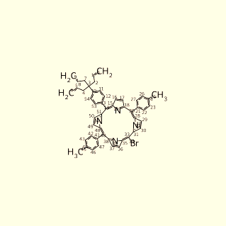 C=CCC(CC=C)(CC=C)c1ccc(C2=C3C=CC(=N3)C(c3ccc(C)cc3)=C3C=CC(=N3)C(Br)=C3C=CC(=N3)C(c3ccc(C)cc3)=C3C=CC2=N3)cc1